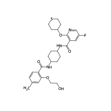 Cc1ccc(C(=O)NC2CCC(NC(=O)c3cc(F)cnc3OC3CCSCC3)CC2)c(OCCO)c1